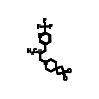 C[C@H](Cc1ccc(C(F)(F)F)nc1)CN1CCC2(CC1)CS(=O)(=O)C2